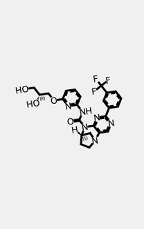 O=C(Nc1cccc(OC[C@H](O)CO)n1)N1c2nc(-c3cccc(C(F)(F)F)c3)ncc2N2CC[C@H]1C2